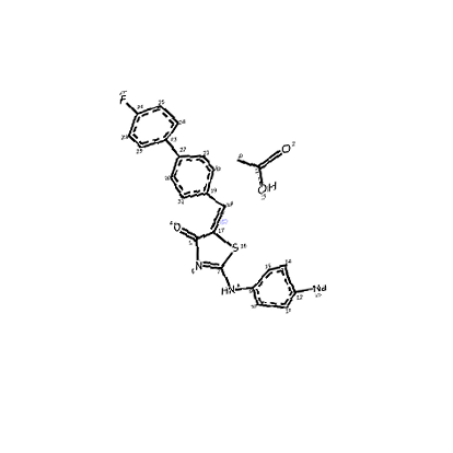 CC(=O)O.O=C1N=C(Nc2cc[c]([Na])cc2)S/C1=C/c1ccc(-c2ccc(F)cc2)cc1